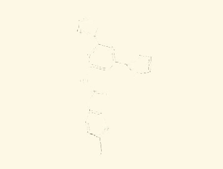 O=C(Cc1ccc(F)cc1)Nc1cc(-c2ccco2)nc(-c2nccs2)n1